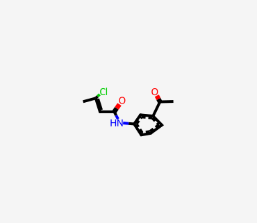 CC(=O)c1cccc(NC(=O)C=C(C)Cl)c1